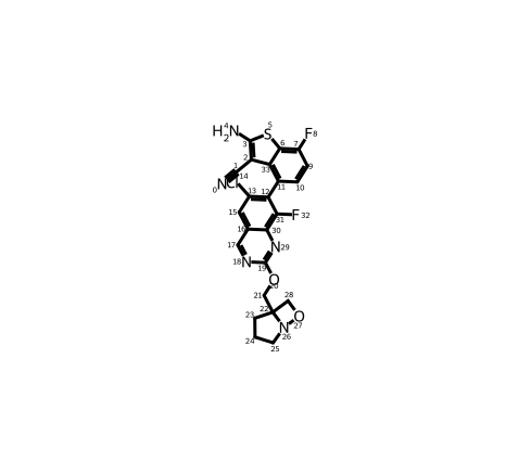 N#Cc1c(N)sc2c(F)ccc(-c3c(Cl)cc4cnc(OCC56CCCN5OC6)nc4c3F)c12